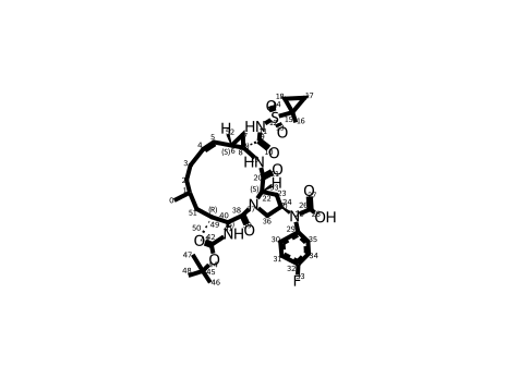 CC1CCC=C[C@@H]2C[C@@]2(C(=O)NS(=O)(=O)C2(C)CC2)NC(=O)[C@@H]2C[C@@H](N(C(=O)O)c3ccc(F)cc3)CN2C(=O)[C@@H](NC(=O)OC(C)(C)C)[C@H](C)C1